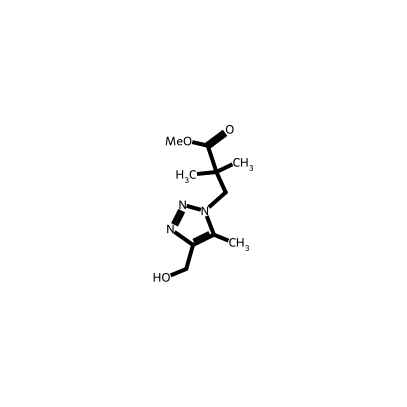 COC(=O)C(C)(C)Cn1nnc(CO)c1C